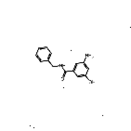 Nc1cc(O)cc(C(=O)NCc2ccccc2)c1